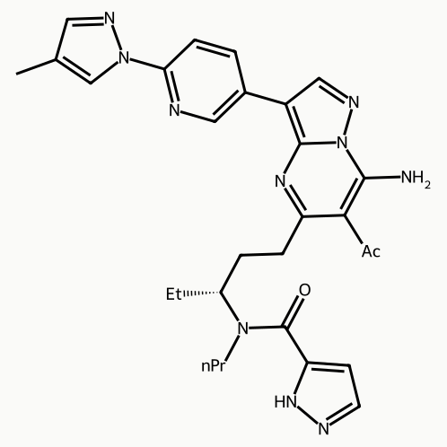 CCCN(C(=O)c1ccn[nH]1)[C@H](CC)CCc1nc2c(-c3ccc(-n4cc(C)cn4)nc3)cnn2c(N)c1C(C)=O